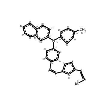 CC/C=C\c1ccc(/C=C\c2ccc(N(c3ccc(C)cc3)c3ccc4ccccc4c3)cc2)s1